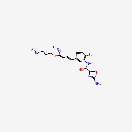 C=N/C(=C\C=C\c1ccc(CC)c(NC(O)c2coc(N)n2)c1)OCCCNC(C)C